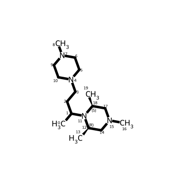 CC(CCN1CCN(C)CC1)N1[C@H](C)CN(C)C[C@@H]1C